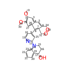 COc1cc2cc3c(c(-c4ccnc(N5CC[C@H](O)c6ccccc65)c4)c2cc1OC)COOC3